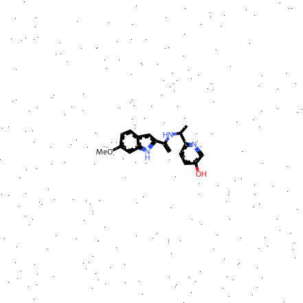 C=C(NC(C)c1ccc(O)cn1)c1cc2ccc(OC)cc2[nH]1